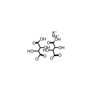 O=C([O-])C(O)C(O)C(=O)O.O=C([O-])C(O)C(O)C(=O)O.[K+].[Na+]